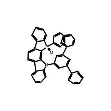 O=P1(c2ccccc2)c2ccccc2-c2ccc3c4ccccc4n(-c4cc(-c5ccccc5)cc(-c5ccccc5)c4)c3c21